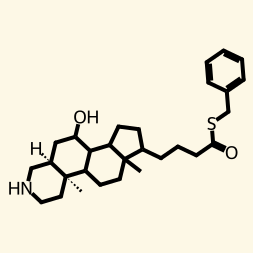 CC12CCC3C(C(O)C[C@@H]4CNCC[C@]34C)C1CCC2CCCC(=O)SCc1ccccc1